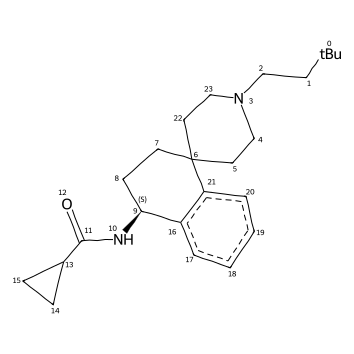 CC(C)(C)CCN1CCC2(CC[C@H](NC(=O)C3CC3)c3ccccc32)CC1